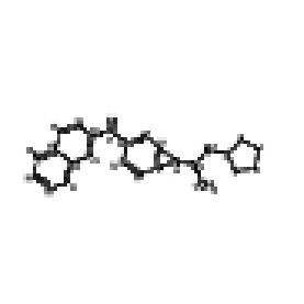 CN(OC1CCCC1)N1c2cnc(Nc3ccc4ncccc4c3)cc21